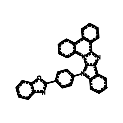 c1ccc2oc(-c3ccc(-n4c5ccccc5c5nc6c7ccccc7c7ccccc7n6c54)cc3)nc2c1